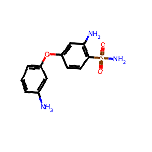 Nc1cccc(Oc2ccc(S(N)(=O)=O)c(N)c2)c1